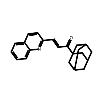 O=C(C=Cc1ccc2ccccc2n1)C12CC3CC(CC(C3)C1)C2